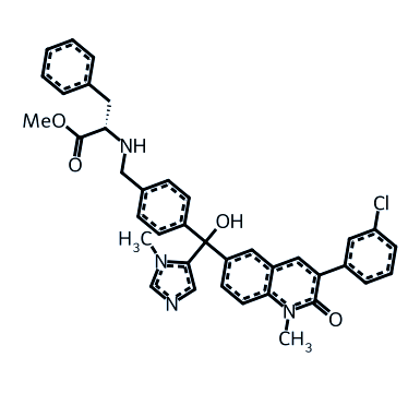 COC(=O)[C@H](Cc1ccccc1)NCc1ccc(C(O)(c2ccc3c(c2)cc(-c2cccc(Cl)c2)c(=O)n3C)c2cncn2C)cc1